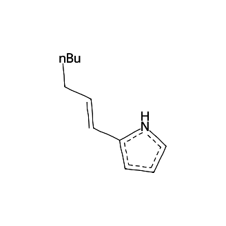 CCCCCC=Cc1ccc[nH]1